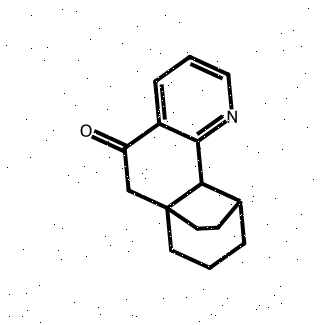 O=C1CC23CCCC(CC2)C3c2ncccc21